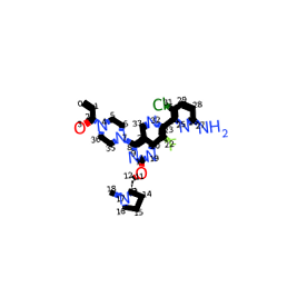 C=CC(=O)N1CCN(c2nc(OC[C@@H]3CCCN3C)nc3c(F)c(-c4nc(N)ccc4Cl)ncc23)CC1